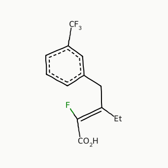 CCC(Cc1cccc(C(F)(F)F)c1)=C(F)C(=O)O